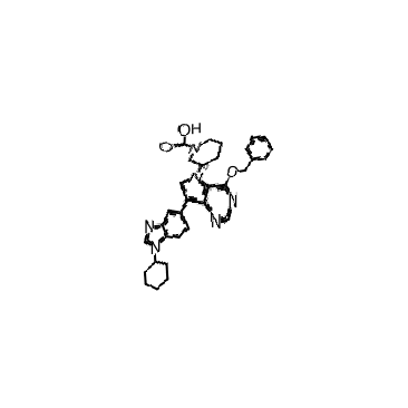 O=C(O)N1CCC[C@@H](n2cc(-c3ccc4c(c3)ncn4C3CCCCC3)c3ncnc(OCc4ccccc4)c32)C1